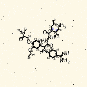 C=C/C=C(C(=O)NNC(=O)C(Nc1ccc(C(=N)N)cc1)c1ccc(OCC(=O)N(C)C)c(OCC)c1)\C(Cl)=C/N